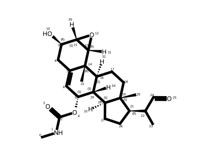 CNC(=O)O[C@@H]1C=C2C[C@@H](O)[C@@H]3O[C@@H]3[C@]2(C)[C@H]2CC[C@]3(C)[C@@H](C(C)C=O)CC[C@H]3[C@H]12